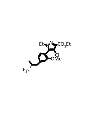 CCOC(=O)c1nn(CC)c(-c2ccc(C[C@@H](C)C(F)(F)F)cc2OC)c1Cl